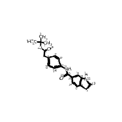 CC(C)(C)OC(=O)Cc1ccc(NC(=O)c2ccc3c(c2)NCC3)cc1